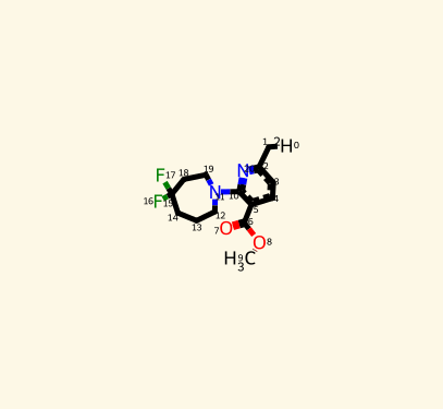 [2H]Cc1ccc(C(=O)OC)c(N2CCCC(F)(F)CC2)n1